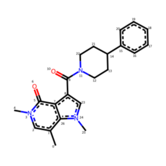 Cc1cn(C)c(=O)c2c(C(=O)N3CCC(c4ccccc4)CC3)cn(C)c12